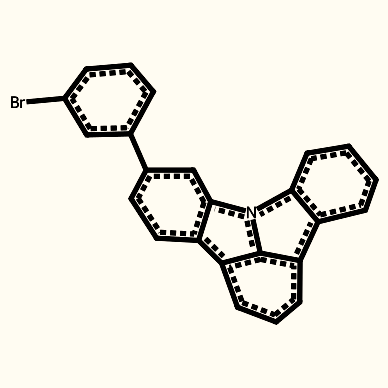 Brc1cccc(-c2ccc3c4cccc5c6ccccc6n(c3c2)c54)c1